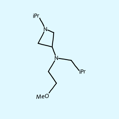 COCCN(CC(C)C)C1CN(C(C)C)C1